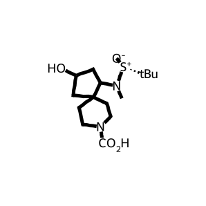 CN(C1CC(O)CC12CCN(C(=O)O)CC2)[S@+]([O-])C(C)(C)C